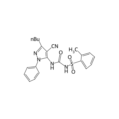 CCCCc1nn(-c2ccccc2)c(NC(=O)NS(=O)(=O)c2ccccc2C)c1C#N